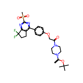 C=C(OC(C)(C)C)N1CCN(C(=O)COc2ccc(-c3nc(S(C)(=O)=O)nc4c3CCC4(F)F)cc2)CC1